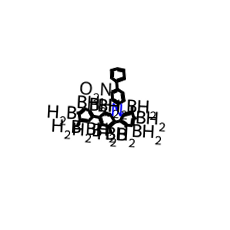 Bc1c(B)c(B)c(-c2c(B)c(B)c3c4c(B)c(B)c(B)c(B)c4n(-c4ccc(-c5ccccc5)c([N+](=O)[O-])c4)c3c2B)c(B)c1B